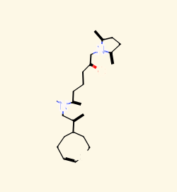 C=C(CN(C)C(=C)CCCC(=O)CN1C(=C)CCC1=C)C1CC/C=C\CCC1